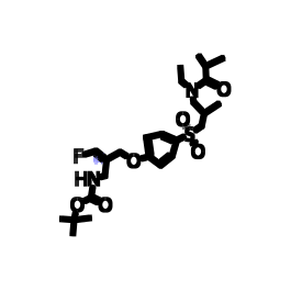 CCN(CC(C)CS(=O)(=O)c1ccc(OC/C(=C/F)CNC(=O)OC(C)(C)C)cc1)C(=O)C(C)C